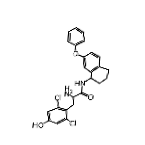 NC(Cc1c(Cl)cc(O)cc1Cl)C(=O)NC1CCCc2ccc(Oc3ccccc3)cc21